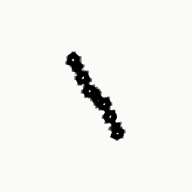 c1ccc2sc(-c3ccc(-c4ccc5c(c4)sc4c6ccc(-c7ccc(-c8cc9ccccc9s8)cc7)cc6sc54)cc3)cc2c1